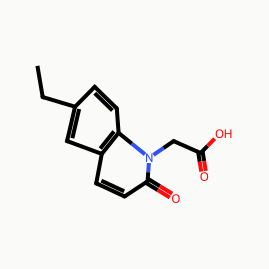 CCc1ccc2c(ccc(=O)n2CC(=O)O)c1